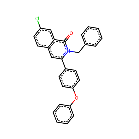 O=c1c2cc(Cl)ccc2cc(-c2ccc(Oc3ccccc3)cc2)n1Cc1ccccc1